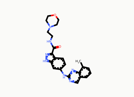 Cc1cccc2cnc(Nc3ccc4c(C(=O)NCCN5CCOCC5)n[nH]c4c3)nc12